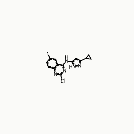 Clc1nc(Nc2cc(C3CC3)n[nH]2)c2cc(I)ccc2n1